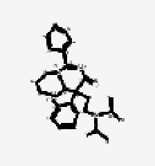 CC(C)N(CCC1(c2ccccc2Cl)C(=O)N=C(c2ccccc2)N2CCCCC21)C(C)C